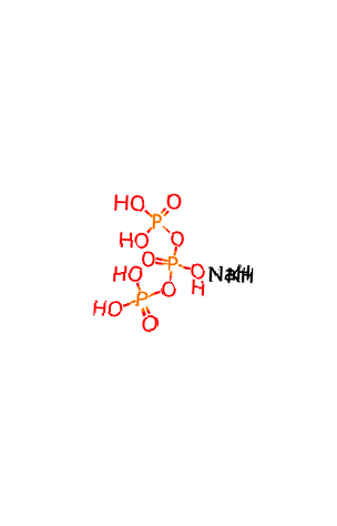 O=P(O)(O)OP(=O)(O)OP(=O)(O)O.[KH].[NaH]